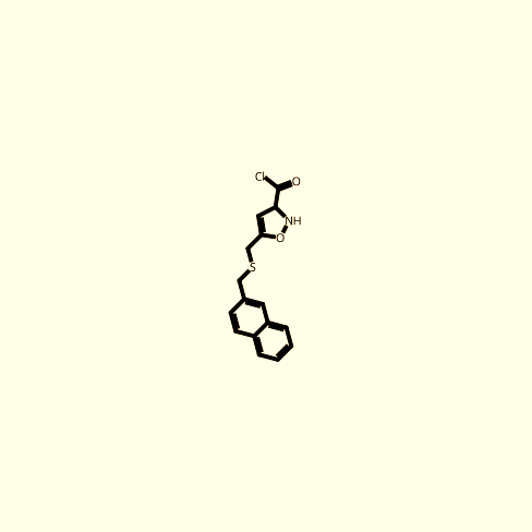 O=C(Cl)C1C=C(CSCc2ccc3ccccc3c2)ON1